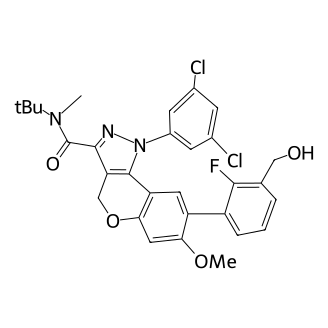 COc1cc2c(cc1-c1cccc(CO)c1F)-c1c(c(C(=O)N(C)C(C)(C)C)nn1-c1cc(Cl)cc(Cl)c1)CO2